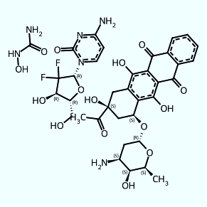 CC(=O)[C@]1(O)Cc2c(O)c3c(c(O)c2[C@@H](O[C@H]2C[C@H](N)[C@H](O)[C@H](C)O2)C1)C(=O)c1ccccc1C3=O.NC(=O)NO.Nc1ccn([C@@H]2O[C@H](CO)[C@@H](O)C2(F)F)c(=O)n1